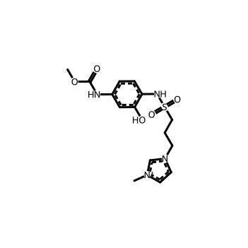 COC(=O)Nc1ccc(NS(=O)(=O)CCCn2cc[n+](C)c2)c(O)c1